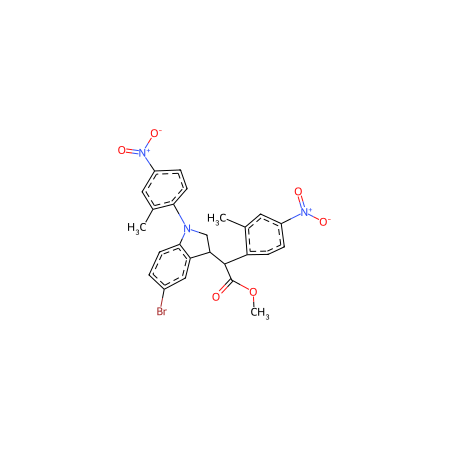 COC(=O)C(c1ccc([N+](=O)[O-])cc1C)C1CN(c2ccc([N+](=O)[O-])cc2C)c2ccc(Br)cc21